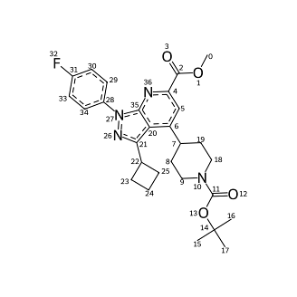 COC(=O)c1cc(C2CCN(C(=O)OC(C)(C)C)CC2)c2c(C3CCC3)nn(-c3ccc(F)cc3)c2n1